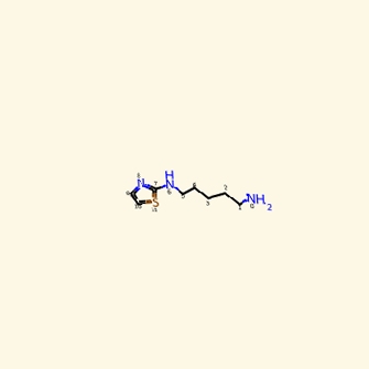 NCCCCCNc1n[c]cs1